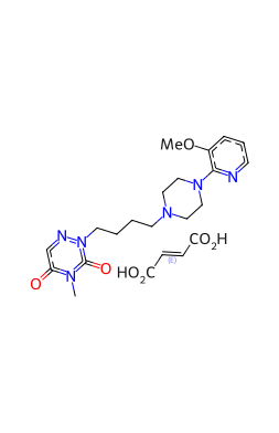 COc1cccnc1N1CCN(CCCCn2ncc(=O)n(C)c2=O)CC1.O=C(O)/C=C/C(=O)O